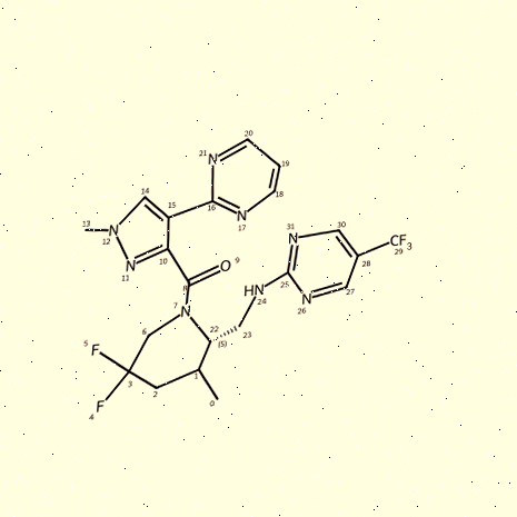 CC1CC(F)(F)CN(C(=O)c2nn(C)cc2-c2ncccn2)[C@@H]1CNc1ncc(C(F)(F)F)cn1